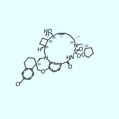 C[C@H]1C/C=C\[C@H](O)[C@@H]2CC[C@H]2CN2C[C@@]3(CCCc4cc(Cl)ccc43)COc3ccc(cc32)C(=O)NS(=O)(=O)N1C[C@@H]1CCCO1